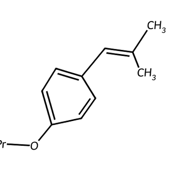 CC(C)=Cc1ccc(OC(C)C)cc1